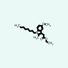 CCCCCCCCn1c(C)c(CC(=O)OCC)c2cc(OC)ccc21